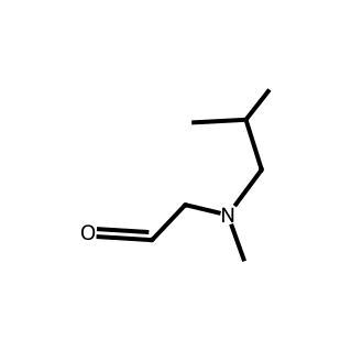 CC(C)CN(C)CC=O